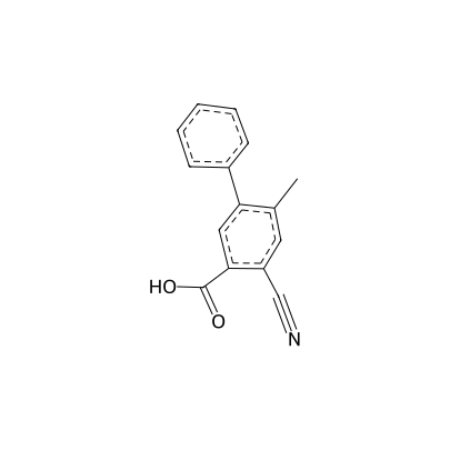 Cc1cc(C#N)c(C(=O)O)cc1-c1ccccc1